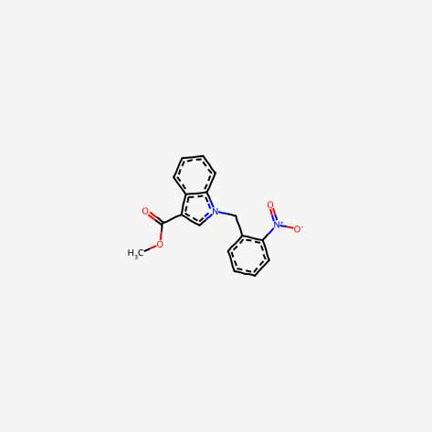 COC(=O)c1cn(Cc2ccccc2[N+](=O)[O-])c2ccccc12